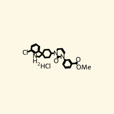 COC(=O)c1cccc(N2C=CCN(C3CCC(CN)(c4cccc(Cl)c4)CC3)C2=O)c1.Cl